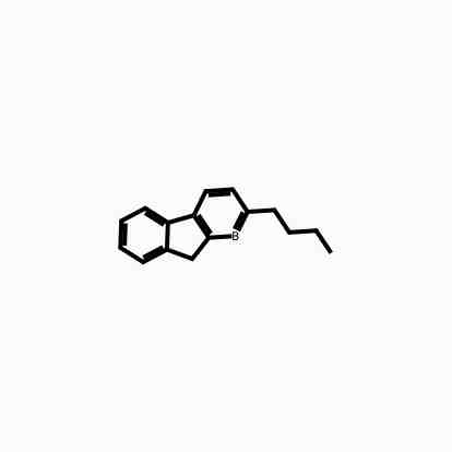 CCCCc1bc2c(cc1)-c1ccccc1C2